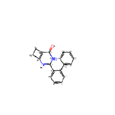 O=c1[nH]c(-c2ccccc2-c2ccccc2)nc2c1CC2